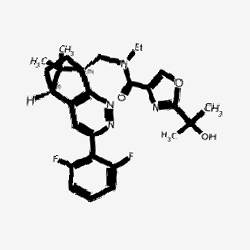 CCN(C[C@@]12CC[C@@H](c3cc(-c4c(F)cccc4F)nnc31)C2(C)C)C(=O)c1coc(C(C)(C)O)n1